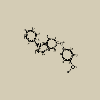 COc1ccc(Oc2ccc3c(cnn3-c3cccnc3)c2)cc1